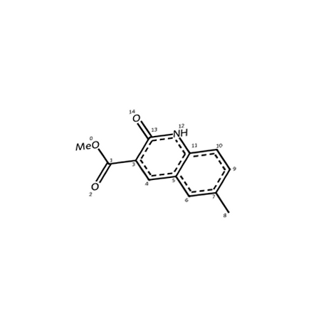 COC(=O)c1cc2cc(C)ccc2[nH]c1=O